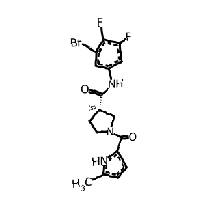 Cc1ccc(C(=O)N2CC[C@H](C(=O)Nc3cc(F)c(F)c(Br)c3)C2)[nH]1